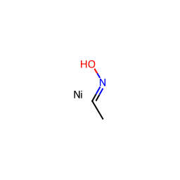 CC=NO.[Ni]